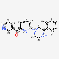 Cc1cccc(C)c1C1CN(c2cccc(C(=O)c3cccnc3)n2)CCN1